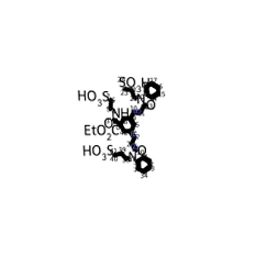 CCOC(=O)C1(C(=O)NCCS(=O)(=O)O)CC(/C=C/c2oc3ccccc3[n+]2CCCS(=O)(=O)O)=CC(=C/C=C2\Oc3ccccc3N2CCCS(=O)(=O)O)/C1